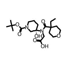 CCC1(C(=O)N(CC(=O)O)[C@]2(O)CCCN(C(=O)OC(C)(C)C)C2)CCOCC1